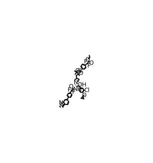 CCOC(=O)C(F)(F)c1ccc(B2OC(C)(C)C(C)(CC3CCN(C[C@@H](NC(=O)C(F)(F)c4ccc(-c5ccc6cn(C)nc6c5)cc4)[C@H](O)c4ccc(OC5CC5)c(Cl)c4)C3)O2)cc1